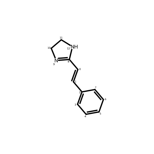 C(=C\c1ccccc1)/C1=NCCN1